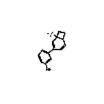 CC12C=C(c3cccc(N)c3)C=CC1CC2